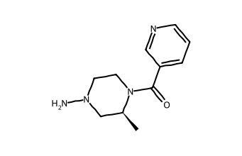 C[C@H]1CN(N)CCN1C(=O)c1cccnc1